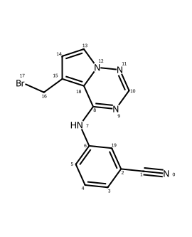 N#Cc1cccc(Nc2ncnn3ccc(CBr)c23)c1